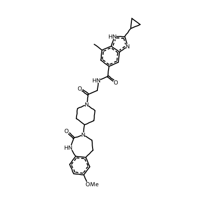 COc1ccc2c(c1)CCN(C1CCN(C(=O)CNC(=O)c3cc(C)c4[nH]c(C5CC5)nc4c3)CC1)C(=O)N2